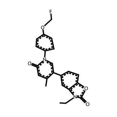 CCn1c(=O)oc2ccc(-c3cn(-c4ccc(OCF)cc4)c(=O)cc3C)cc21